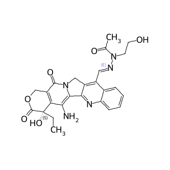 CC[C@@]1(O)C(=O)OCc2c1c(N)c1n(c2=O)Cc2c-1nc1ccccc1c2/C=N/N(CCO)C(C)=O